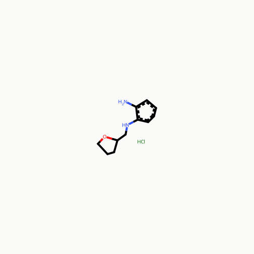 Cl.Nc1ccccc1NCC1CCCO1